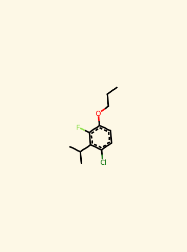 CCCOc1ccc(Cl)c(C(C)C)c1F